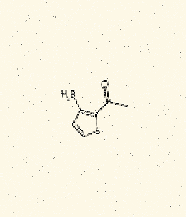 Bc1ccsc1C(C)=O